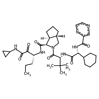 CCC[C@@H](NC(=O)[C@H]1[C@H]2CCC[C@@H]2CN1C(=O)[C@H](NC(=O)[C@H](NC(=O)c1cnccn1)C1CCCCC1)C(C)(C)C)C(=O)C(=O)NC1CC1